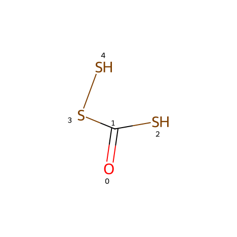 O=C(S)SS